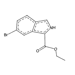 CCOC(=O)c1[nH]cc2ccc(Br)cc12